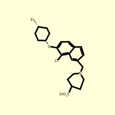 CCOC(=O)C1CCN(Cc2ccc3ccc(O[C@H]4CC[C@@H](CC)CC4)c(Cl)c3c2)CC1